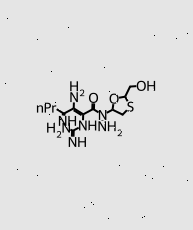 CCCC(=N)/C(N)=C(\NC(=N)N)C(=O)N(N)C1CSC(CO)O1